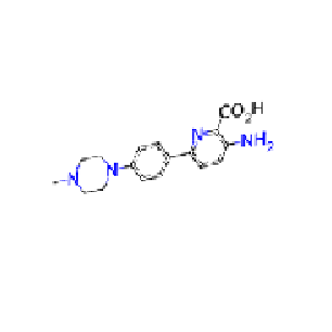 CN1CCN(c2ccc(-c3ccc(N)c(C(=O)O)n3)cc2)CC1